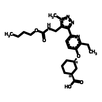 CCCCOC(=O)NCc1c(-c2ccc(O[C@H]3CCC[C@H](C(=O)O)C3)c(CC)n2)nnn1C